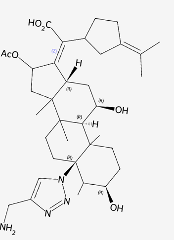 CC(=O)OC1CC2(C)[C@@H](C[C@@H](O)[C@@H]3C2(C)CC[C@@]2(n4cc(CN)nn4)C(C)[C@H](O)CCC32C)/C1=C(/C(=O)O)C1CCC(=C(C)C)C1